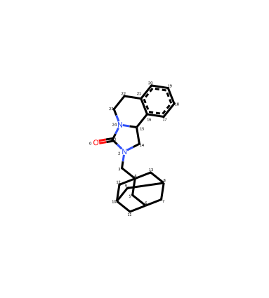 O=C1N(CC23CC4CC(CC(C4)C2)C3)CC2c3ccccc3CCN12